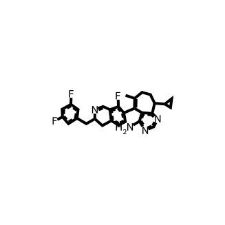 CC1=C(c2ccc3c(c2F)C=NC(Cc2cc(F)cc(F)c2)C3)c2c(N)ncnc2C(C2CC2)CC1